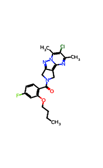 CCCCOc1cc(F)ccc1C(=O)N1Cc2nn3c(C)c(Cl)c(C)nc3c2C1